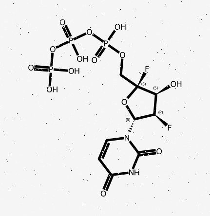 O=c1ccn([C@@H]2O[C@](F)(COP(=O)(O)OP(=O)(O)OP(=O)(O)O)[C@@H](O)[C@H]2F)c(=O)[nH]1